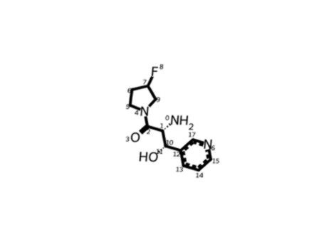 N[C@@H](C(=O)N1CCC(F)C1)[C@@H](O)c1cccnc1